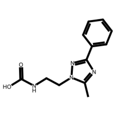 Cc1nc(-c2ccccc2)nn1CCNC(=O)O